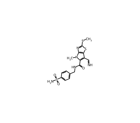 CSc1nc2c(s1)c(C=N)c(C(=O)NCc1ccc(S(N)(=O)=O)cc1)n2C